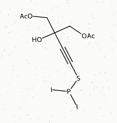 CC(=O)OCC(O)(C#CSP(I)I)COC(C)=O